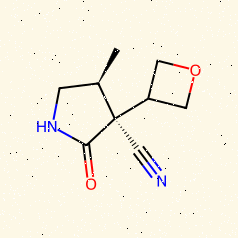 C[C@@H]1CNC(=O)[C@]1(C#N)C1COC1